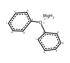 [MgH2].[c]1ccc(Oc2ccccc2)cc1